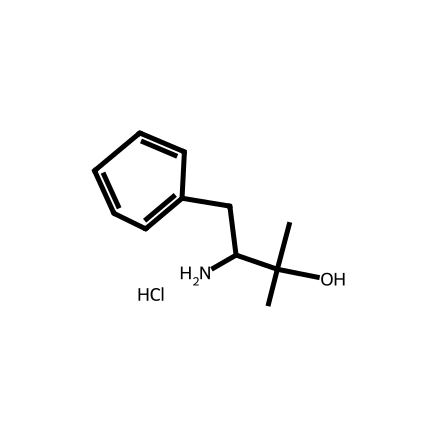 CC(C)(O)C(N)Cc1ccccc1.Cl